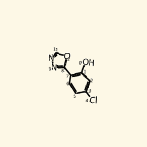 Oc1cc(Cl)ccc1-c1nnco1